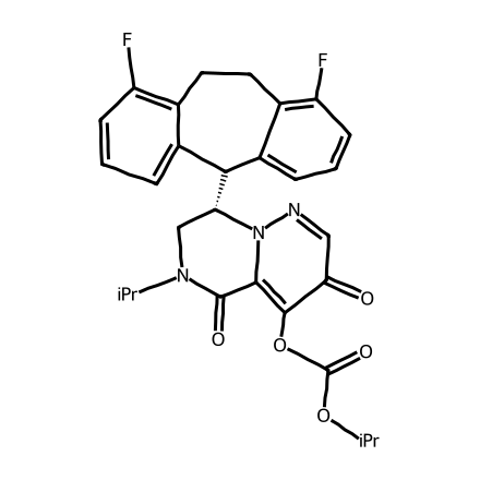 CC(C)OC(=O)Oc1c2n(ncc1=O)[C@@H](C1c3cccc(F)c3CCc3c(F)cccc31)CN(C(C)C)C2=O